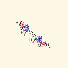 COC(=O)N[C@@H](C(=O)N1CCC[C@H]1c1nc(-c2ccc(-c3ccc(-c4[nH]c([C@@H]5CCCN5C(=O)[C@H](NC(=O)OC)c5ccccc5)nc4C)cc3)cc2)c(C)[nH]1)c1ccccc1